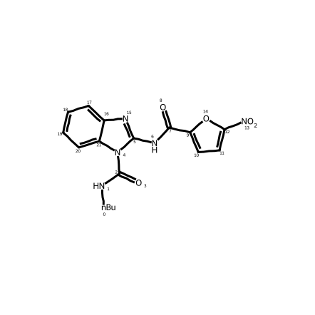 CCCCNC(=O)n1c(NC(=O)c2ccc([N+](=O)[O-])o2)nc2ccccc21